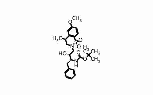 COc1ccc2c(c1)C(C)CN(C[C@@H](O)[C@H](Cc1ccccc1)NC(=O)OC(C)(C)C)S2(=O)=O